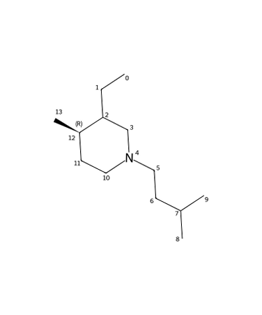 CCC1CN(CCC(C)C)CC[C@H]1C